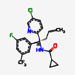 C=CC[C@](NC(=O)C1CC1)(c1cc(F)cc(C(F)(F)F)c1)c1ccc(Cl)cn1